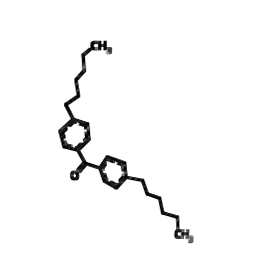 CCCCCCc1ccc(C(=O)c2ccc(CCCCCC)cc2)cc1